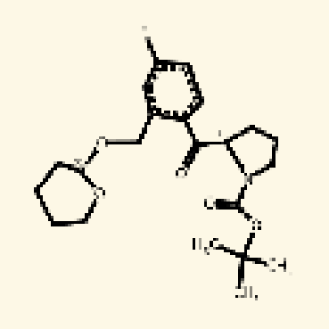 CC(C)(C)OC(=O)N1CCC[C@@H]1C(=O)c1ccc(F)cc1CO[C@@H]1CCCCO1